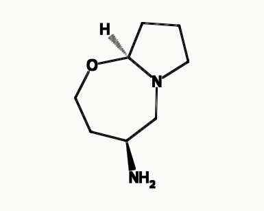 N[C@H]1CCO[C@H]2CCCN2C1